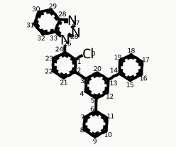 Clc1c(-c2cc(-c3ccccc3)cc(-c3ccccc3)c2)cccc1-n1nnc2ccccc21